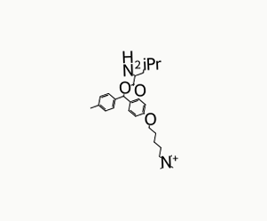 Cc1ccc(C(OC(=O)C(N)CC(C)C)c2ccc(OCCCCC[N+](C)(C)C)cc2)cc1